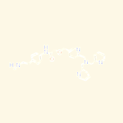 NCCc1ccc(NC(=O)COCc2ccc(CN(Cc3ccccn3)Cc3ccccn3)nc2)cc1